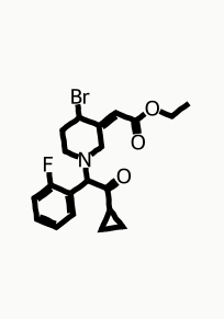 CCOC(=O)C=C1CN(C(C(=O)C2CC2)c2ccccc2F)CCC1Br